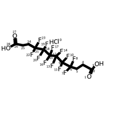 Cl.O=C(O)CCC(F)(F)C(F)(F)C(F)(F)C(F)(F)C(F)(F)C(F)(F)CCC(=O)O